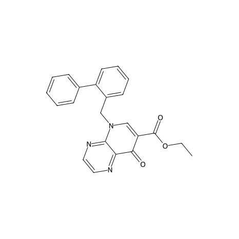 CCOC(=O)c1cn(Cc2ccccc2-c2ccccc2)c2nccnc2c1=O